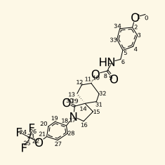 COc1ccc(CNC(=O)O[C@H]2CC[C@@]3(CCN(c4ccc(OC(F)(F)F)cc4)C3=O)CC2)cc1